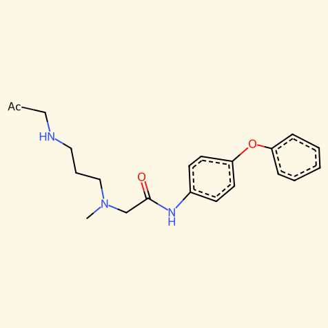 CC(=O)CNCCCN(C)CC(=O)Nc1ccc(Oc2ccccc2)cc1